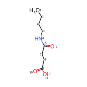 CCCCNC(=O)CCC(=O)O